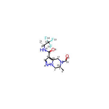 C[C@H]1Cn2ncc(C(=O)N[C@H](C)C(F)(F)F)c2CN1C=O